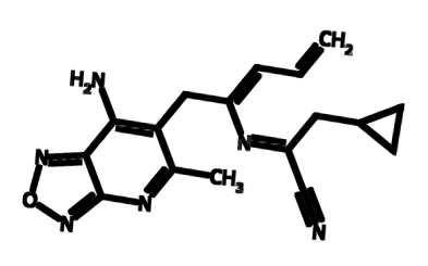 C=C/C=C(Cc1c(C)nc2nonc2c1N)\N=C(\C#N)CC1CC1